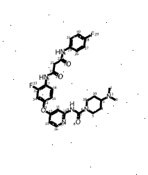 CN(C)C1CCN(C(=O)Nc2cc(Oc3ccc(NC(=O)CC(=O)Nc4ccc(F)cc4)c(F)c3)ccn2)CC1